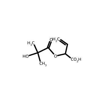 C=CC(OC(=O)C(C)(C)O)C(=O)O